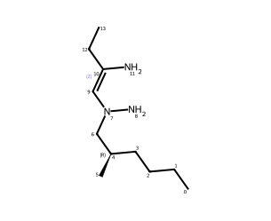 CCCC[C@@H](C)CN(N)/C=C(\N)CC